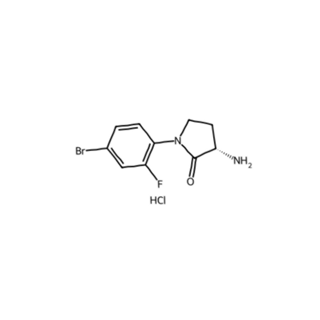 Cl.N[C@H]1CCN(c2ccc(Br)cc2F)C1=O